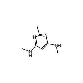 CNc1cc(NC)nc(C)n1